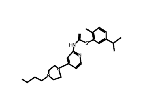 C=C(Nc1cc(N2CCN(CCCC)CC2)ccn1)Sc1cc(C(C)C)ccc1C